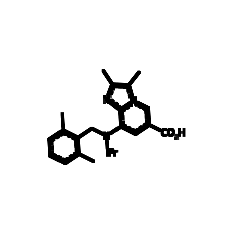 Cc1cccc(C)c1CN(c1cc(C(=O)O)cn2c(C)c(C)nc12)C(C)C